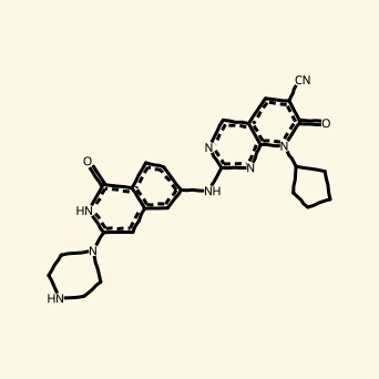 N#Cc1cc2cnc(Nc3ccc4c(=O)[nH]c(N5CCNCC5)cc4c3)nc2n(C2CCCC2)c1=O